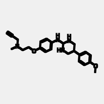 C#CCN(C)CCOc1ccc(NC2NCC(c3ccc(OC)cc3)CN2)cc1